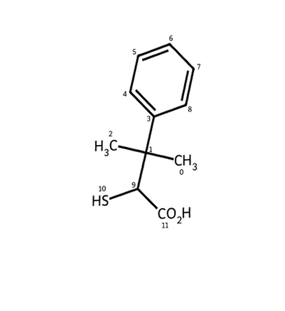 CC(C)(c1ccccc1)C(S)C(=O)O